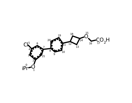 CC(C)Oc1cc(Cl)cc(-c2ccc(C3CC(OCC(=O)O)C3)cc2)c1